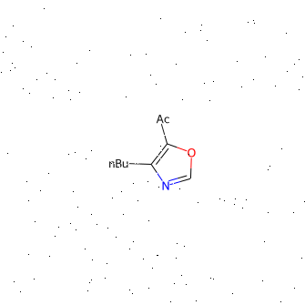 CCCCc1ncoc1C(C)=O